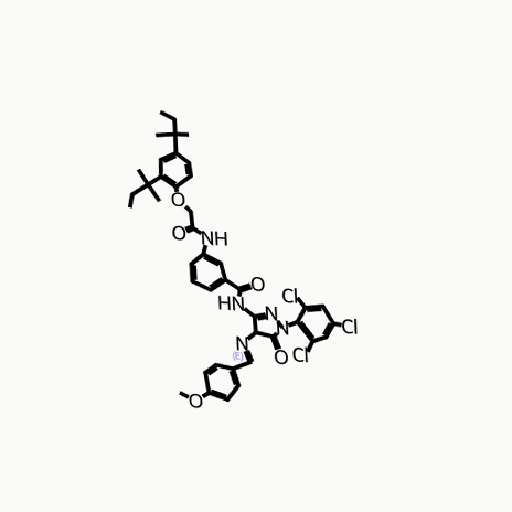 CCC(C)(C)c1ccc(OCC(=O)Nc2cccc(C(=O)NC3=NN(c4c(Cl)cc(Cl)cc4Cl)C(=O)C3/N=C/c3ccc(OC)cc3)c2)c(C(C)(C)CC)c1